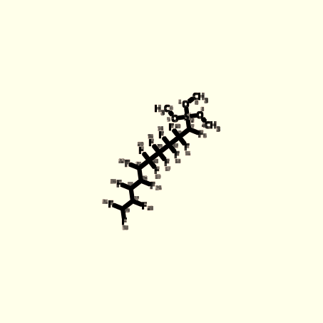 CO[Si](OC)(OC)C(F)C(F)(F)C(F)(F)C(F)(F)C(F)(F)C(F)C(F)C(F)C(F)C(F)F